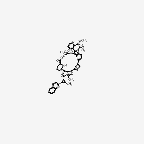 CCO[C@@H]1C2=NC(CS2)c2ccc3c(c2)c(c(-c2cccnc2[C@H](C)OC)n3CC)CC(C)(C)COC(=O)[C@@H]2CCCN(N2)C(=O)[C@H]1NC(=O)[C@@H]1[C@@H](C)[C@H]1c1ccc2ccccc2n1